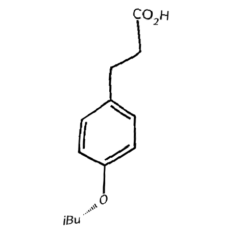 CC[C@@H](C)Oc1ccc(CCC(=O)O)cc1